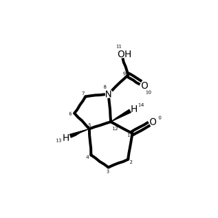 O=C1CCC[C@@H]2CCN(C(=O)O)[C@H]12